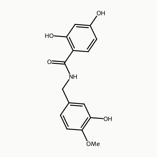 COc1ccc(CNC(=O)c2ccc(O)cc2O)cc1O